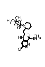 CNC(=O)c1nnc(Cl)cc1NCCC1CCCCN1C(=O)OC(C)(C)C